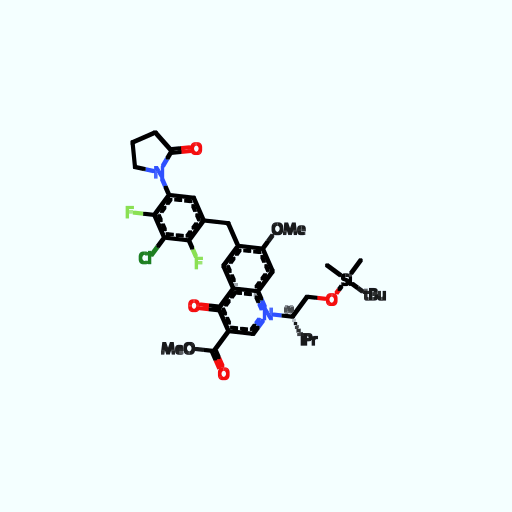 COC(=O)c1cn([C@H](CO[Si](C)(C)C(C)(C)C)C(C)C)c2cc(OC)c(Cc3cc(N4CCCC4=O)c(F)c(Cl)c3F)cc2c1=O